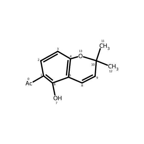 CC(=O)c1ccc2c(c1O)C=CC(C)(C)O2